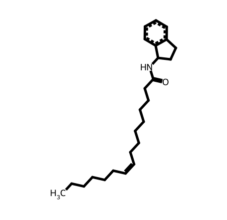 CCCCCC/C=C\CCCCCCCC(=O)NC1CCc2ccccc21